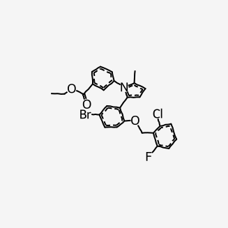 CCOC(=O)c1cccc(-n2c(C)ccc2-c2cc(Br)ccc2OCc2c(F)cccc2Cl)c1